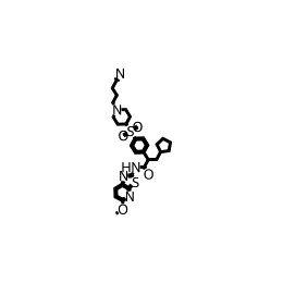 COc1ccc2nc(NC(=O)C(CC3CCCC3)c3ccc(S(=O)(=O)C4CCN(CCCC#N)CC4)cc3)sc2n1